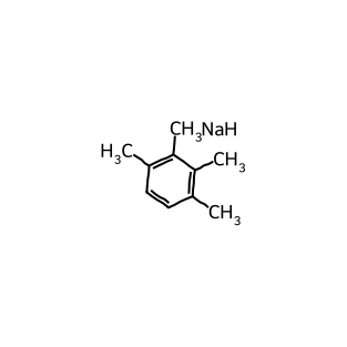 Cc1ccc(C)c(C)c1C.[NaH]